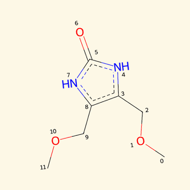 COCc1[nH]c(=O)[nH]c1COC